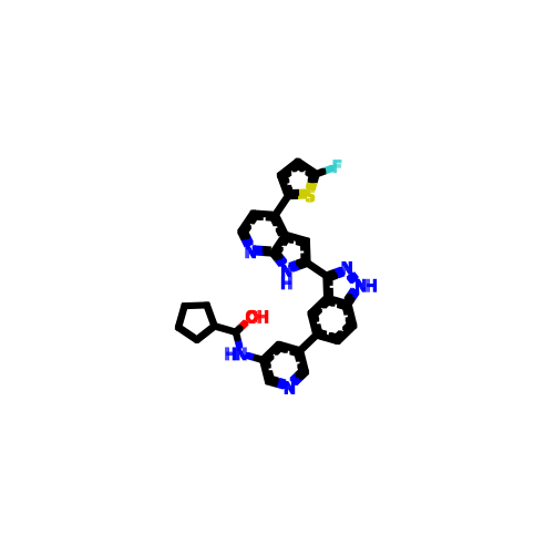 OC(Nc1cncc(-c2ccc3[nH]nc(-c4cc5c(-c6ccc(F)s6)ccnc5[nH]4)c3c2)c1)C1CCCC1